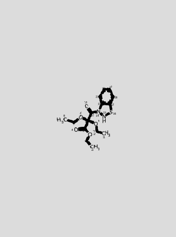 CCOC(=O)C(OCC)(OCC)C(=O)N1NSc2ccccc21